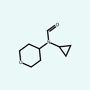 O=[C]N(C1CCOCC1)C1CC1